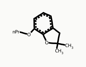 CCCOc1cccc2c1OC(C)(C)C2